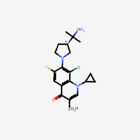 CC(C)(N)[C@@H]1CCN(c2c(F)cc3c(=O)c(C(=O)O)cn(C4CC4)c3c2Cl)C1